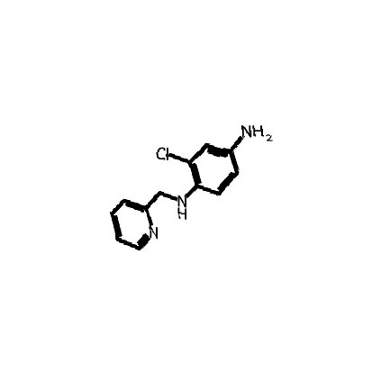 Nc1ccc(NCc2ccccn2)c(Cl)c1